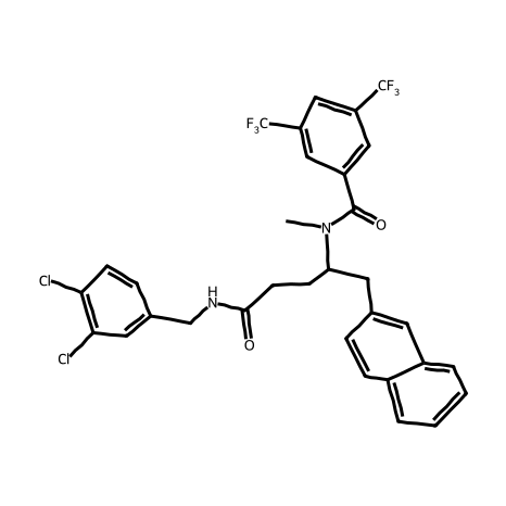 CN(C(=O)c1cc(C(F)(F)F)cc(C(F)(F)F)c1)C(CCC(=O)NCc1ccc(Cl)c(Cl)c1)Cc1ccc2ccccc2c1